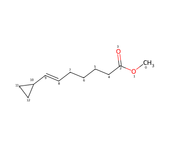 COC(=O)CCCCC=CC1[CH]C1